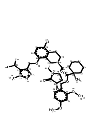 COc1ccc(COC(=O)[C@@]2(C)CCCC[C@H]2C(=O)N2CCc3c(Cl)ccc(OCc4nnn(C)c4C(F)F)c3[C@H]2CN2CC[C@@H](C)C2=O)c(OC)c1